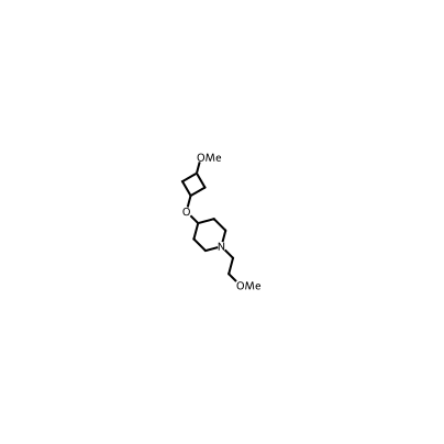 COCCN1CCC(OC2CC(OC)C2)CC1